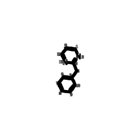 [c]1cnc(Cc2ccccc2)nc1